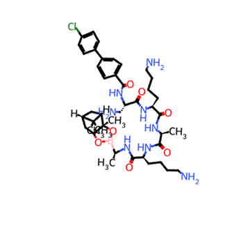 C[C@H](NC(=O)[C@H](CCCCN)NC(=O)[C@H](C)NC(=O)[C@H](CCCCN)NC(=O)[C@H](CN)NC(=O)c1ccc(-c2ccc(Cl)cc2)cc1)B1OC2C[C@@H]3C[C@@H](C3(C)C)[C@]2(C)O1